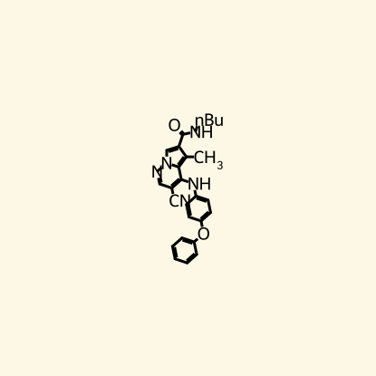 CCCCNC(=O)c1cn2ncc(C#N)c(Nc3ccc(Oc4ccccc4)cc3)c2c1C